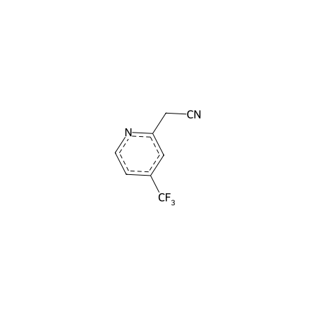 N#CCc1cc(C(F)(F)F)ccn1